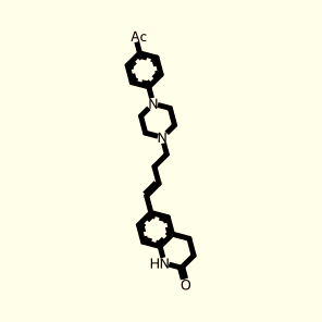 CC(=O)c1ccc(N2CCN(CCC=Cc3ccc4c(c3)CCC(=O)N4)CC2)cc1